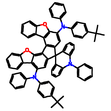 CC(C)(C)c1ccc(N(c2ccccc2)c2cc3c(c4c2oc2ccccc24)-c2c(cc(N(c4ccccc4)c4ccc(C(C)(C)C)cc4)c4c2oc2ccccc24)C32c3ccccc3N(c3ccccc3)c3ccccc32)cc1